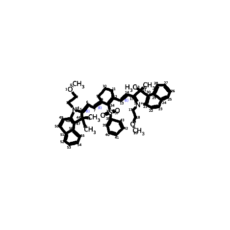 COCCN1/C(=C/C=C2\CCCC(/C=C/C3=[N+](CCOC)c4ccc5ccccc5c4C3(C)C)=C2S(=O)(=O)c2ccccc2)C(C)(C)c2c1ccc1ccccc21